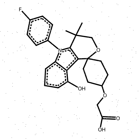 CC1(C)COC2(CCC(OCC(=O)O)CC2)c2c1n(-c1ccc(F)cc1)c1cccc(O)c21